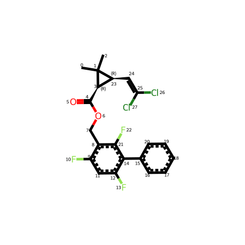 CC1(C)[C@H](C(=O)OCc2c(F)cc(F)c(-c3ccccc3)c2F)[C@@H]1C=C(Cl)Cl